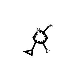 CC(C)c1cc(Br)c(C2CC2)cn1